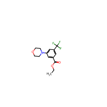 CCOC(=O)c1cc(N2CCOCC2)cc(C(F)(F)F)c1